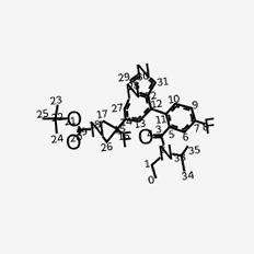 CCN(C(=O)c1cc(F)ccc1-c1cc(C2(F)CN(C(=O)OC(C)(C)C)C2)cn2cncc12)C(C)C